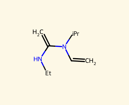 C=CN(C(=C)NCC)C(C)C